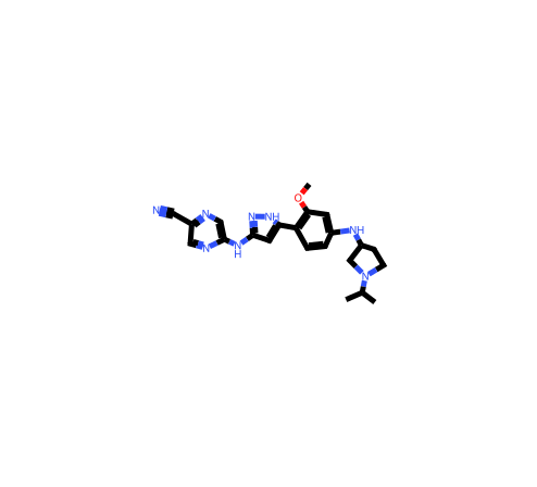 COc1cc(NC2CCN(C(C)C)C2)ccc1-c1cc(Nc2cnc(C#N)cn2)n[nH]1